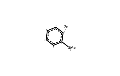 CSc1cc[c]cc1.[Zn]